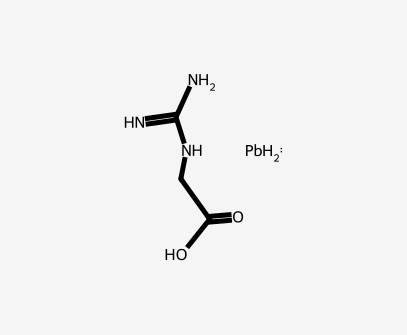 N=C(N)NCC(=O)O.[PbH2]